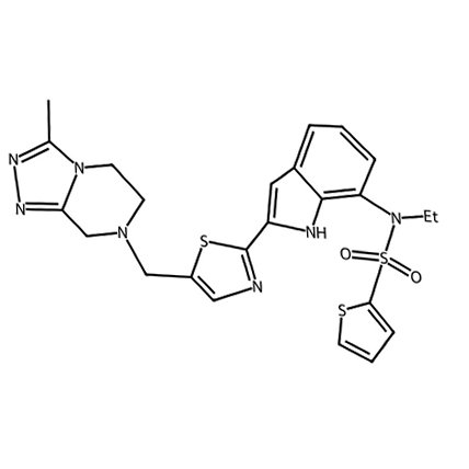 CCN(c1cccc2cc(-c3ncc(CN4CCn5c(C)nnc5C4)s3)[nH]c12)S(=O)(=O)c1cccs1